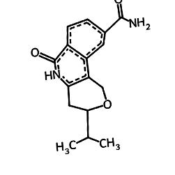 CC(C)C1Cc2[nH]c(=O)c3ccc(C(N)=O)cc3c2CO1